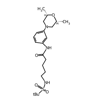 C[C@@H]1CN(c2cccc(NC(=O)CCCCNS(=O)(=O)C(C)(C)C)c2)C[C@H](C)O1